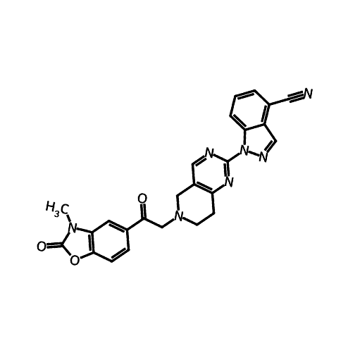 Cn1c(=O)oc2ccc(C(=O)CN3CCc4nc(-n5ncc6c(C#N)cccc65)ncc4C3)cc21